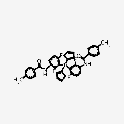 Cc1ccc(C(=O)Nc2ccc(F)[c]([Ti]([C]3=CC=CC3)([C]3=CC=CC3)[c]3c(F)ccc(NC(=O)c4ccc(C)cc4)c3F)c2F)cc1